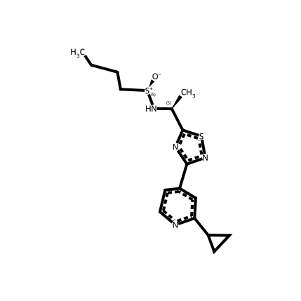 CCCC[S@@+]([O-])N[C@@H](C)c1nc(-c2ccnc(C3CC3)c2)ns1